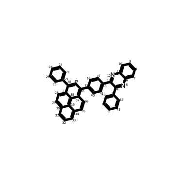 c1ccc(-c2nc3ccccc3nc2-c2ccc(-c3cc(-c4ccccc4)c4ccc5cccc6ccc3c4c56)cc2)cc1